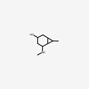 CNC1CC(O)CC2C(C)C12